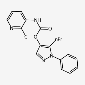 CCCc1c(OC(=O)Nc2cccnc2Cl)cnn1-c1ccccc1